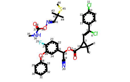 CC1(C)C(/C=C(\Cl)c2ccc(Cl)cc2)C1C(=O)OC(C#N)c1ccc(F)c(Oc2ccccc2)c1.CNC(=O)O/N=C/C(C)(C)SC